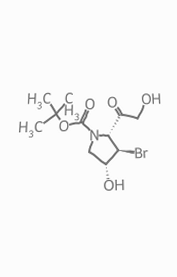 CC(C)(C)OC(=O)N1C[C@@H](O)[C@H](Br)[C@H]1C(=O)CO